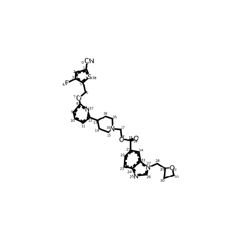 N#Cc1cc(F)c(COc2cccc(C3CCN(COC(=O)c4ccc5ncn(CC6CCO6)c5c4)CC3)n2)s1